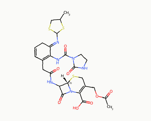 CC(=O)OCC1=C(C(=O)O)N2C(=O)C(NC(=O)CC3=C(NC(=O)N4CCNC4=O)C(=NC4SCC(C)S4)CC=C3)[C@@H]2SC1